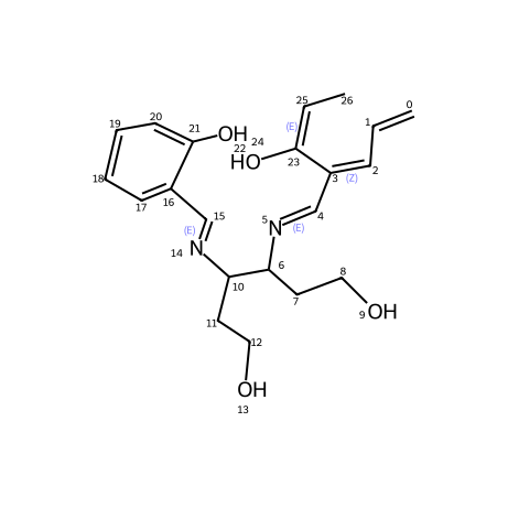 C=C/C=C(/C=N/C(CCO)C(CCO)/N=C/c1ccccc1O)C(\O)=C/C